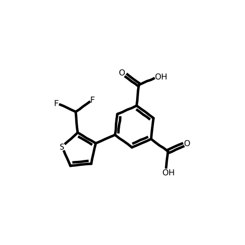 O=C(O)c1cc(C(=O)O)cc(-c2ccsc2C(F)F)c1